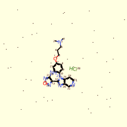 CN(C)CCCOc1ccc(-n2c(-c3nonc3N)nc3cnccc32)cc1.Cl